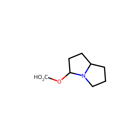 O=C(O)OC1CCC2CCCN21